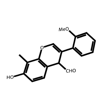 COc1ccccc1C1=COc2c(ccc(O)c2C)C1C=O